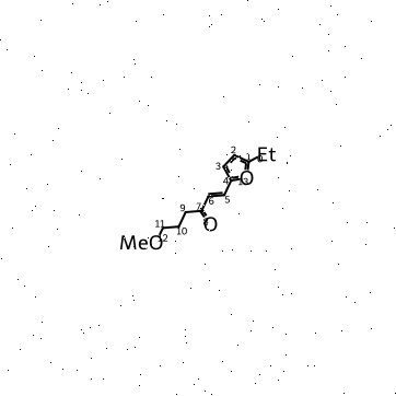 CCc1ccc(/C=C/C(=O)CCCOC)o1